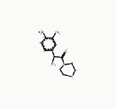 Cc1cc(C(C)C(=O)N2CCOCC2)ccc1N